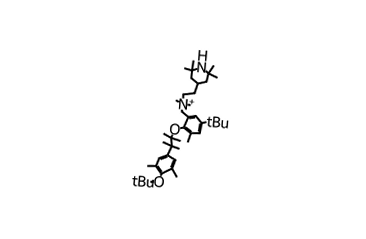 Cc1cc(C(C)(C)C(C)(C)Oc2c(C)cc(C(C)(C)C)cc2C[N+](C)(C)CCC2CC(C)(C)NC(C)(C)C2)cc(C)c1OC(C)(C)C